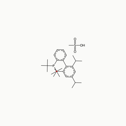 CC(C)c1cc(C(C)C)c(-c2ccccc2P(C(C)(C)C)C(C)(C)C)c(C(C)C)c1.CS(=O)(=O)O